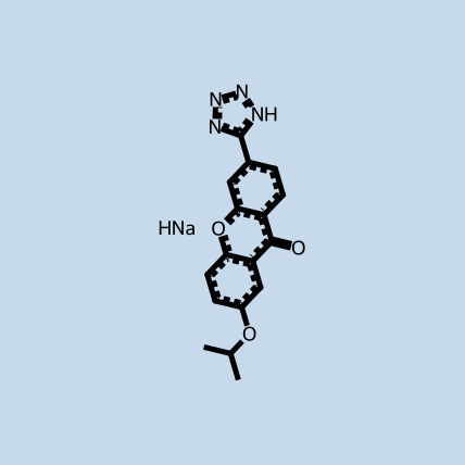 CC(C)Oc1ccc2oc3cc(-c4nnn[nH]4)ccc3c(=O)c2c1.[NaH]